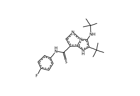 CC(C)(C)Nc1c(C(C)(C)C)[nH]c2c(C(=S)Nc3ccc(F)cc3)cnn12